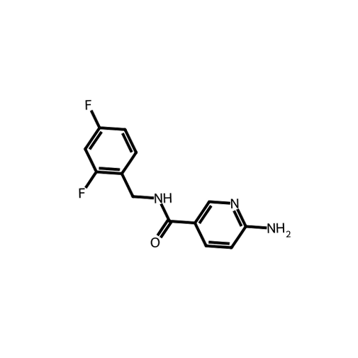 Nc1ccc(C(=O)NCc2ccc(F)cc2F)cn1